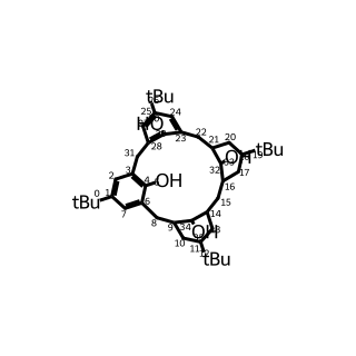 CC(C)(C)c1cc2c(O)c(c1)CC1CC(C(C)(C)C)CC(CC3CC(C(C)(C)C)CC(Cc4cc(C(C)(C)C)cc(c4O)C2)C3O)C1O